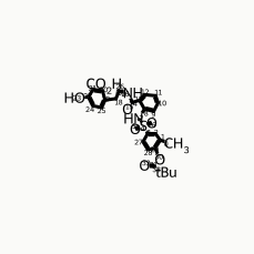 Cc1cc(S(=O)(=O)Nc2ccccc2C(=O)N[C@@H](Cc2ccc(O)cc2)C(=O)O)ccc1OC(=O)C(C)(C)C